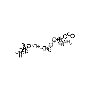 Nc1ncnc2c1c(-c1ccc(Oc3ccccc3)cc1)nn2C1CCCN(C2CCN(C(=O)N3CCC(CCN4CCN(c5ccc6c(c5)C(=O)N(C5CCC(=O)NC5=O)C6=O)CC4)CC3)CC2)C1